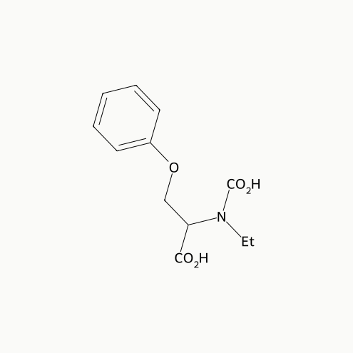 CCN(C(=O)O)C(COc1ccccc1)C(=O)O